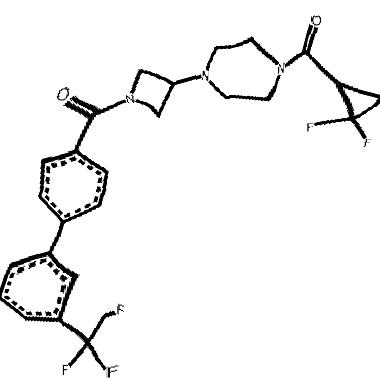 O=C(c1ccc(-c2cccc(C(F)(F)F)c2)cc1)N1CC(N2CCN(C(=O)C3CC3(F)F)CC2)C1